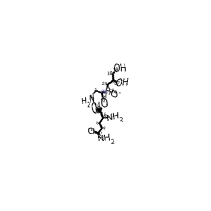 NC/C(OC(=O)[C@@H](N)CCC(N)=O)=[P+](/[O-])CC(O)CO